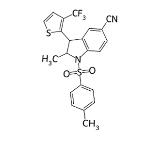 Cc1ccc(S(=O)(=O)N2c3ccc(C#N)cc3C(c3sccc3C(F)(F)F)C2C)cc1